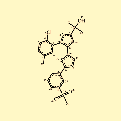 Cc1ccc(Cl)c(-n2nc(C(C)(C)O)cc2-c2ccc(-c3cccc(S(C)(=O)=O)c3)s2)c1